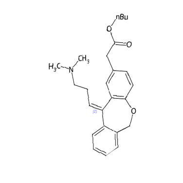 CCCCOC(=O)Cc1ccc2c(c1)/C(=C\CCN(C)C)c1ccccc1CO2